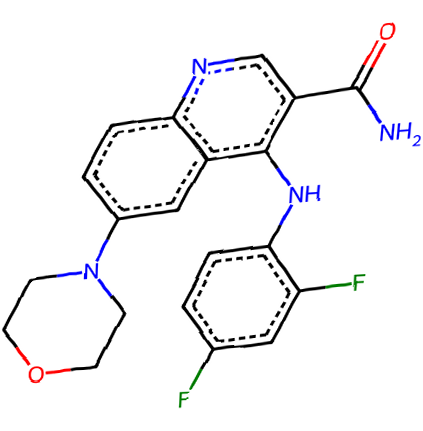 NC(=O)c1cnc2ccc(N3CCOCC3)cc2c1Nc1ccc(F)cc1F